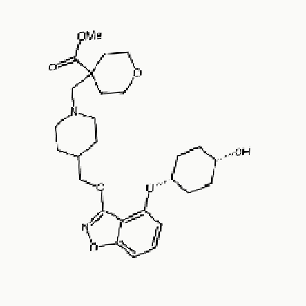 COC(=O)C1(CN2CCC(COc3noc4cccc(O[C@H]5CC[C@@H](O)CC5)c34)CC2)CCOCC1